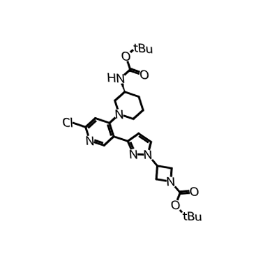 CC(C)(C)OC(=O)N[C@H]1CCCN(c2cc(Cl)ncc2-c2ccn(C3CN(C(=O)OC(C)(C)C)C3)n2)C1